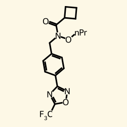 CCCON(Cc1ccc(-c2noc(C(F)(F)F)n2)cc1)C(=O)C1CCC1